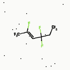 FC(=CC(F)(F)CC(F)(F)F)C(F)(F)F